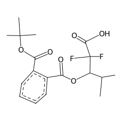 CC(C)C(OC(=O)c1ccccc1C(=O)OC(C)(C)C)C(F)(F)C(=O)O